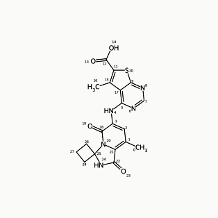 Cc1cc(Nc2ncnc3sc(C(=O)O)c(C)c23)c(=O)n2c1C(=O)NC21CCC1